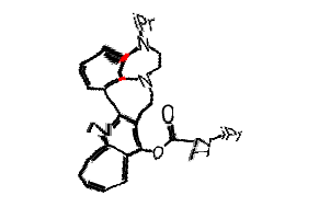 CC(C)NC(=O)Oc1c(CN2CCN(C(C)C)CC2)c(-c2ccccc2)nc2ccccc12